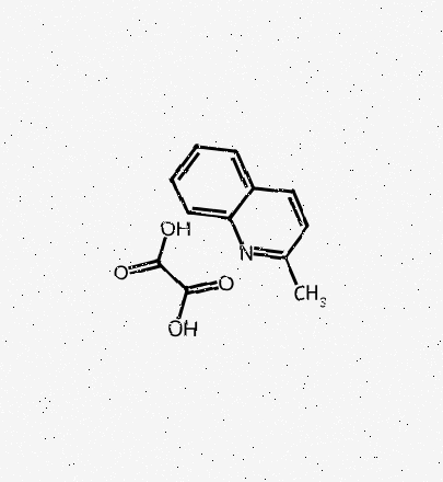 Cc1ccc2ccccc2n1.O=C(O)C(=O)O